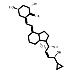 C=C1/C(=C\C=C2/CCC[C@@]3(C)C2CCC3[C@H](C)/C=C\[C@@H](O)C2CC2)C[C@@H](O)C[C@@H]1O